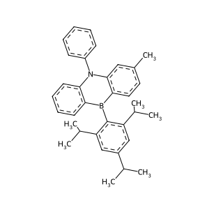 Cc1ccc2c(c1)N(c1ccccc1)c1ccccc1B2c1c(C(C)C)cc(C(C)C)cc1C(C)C